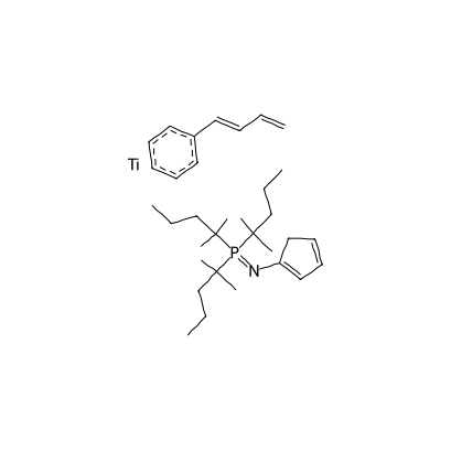 C=CC=Cc1ccccc1.CCCC(C)(C)P(=NC1=CC=CC1)(C(C)(C)CCC)C(C)(C)CCC.[Ti]